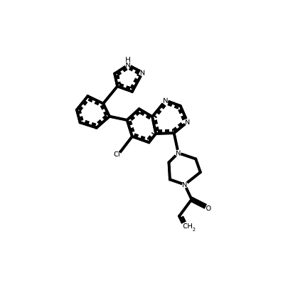 C=CC(=O)N1CCN(c2ncnc3cc(-c4ccccc4-c4cn[nH]c4)c(Cl)cc23)CC1